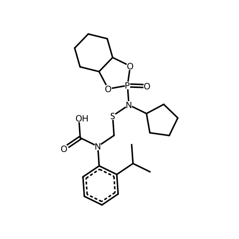 CC(C)c1ccccc1N(CSN(C1CCCC1)P1(=O)OC2CCCCC2O1)C(=O)O